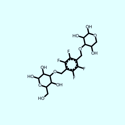 OCC1OC(O)C(O)C(OCc2c(F)c(F)c(COC3C(O)COC(O)C3O)c(F)c2F)C1O